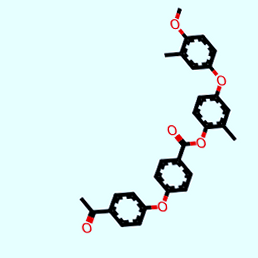 COc1ccc(Oc2ccc(OC(=O)c3ccc(Oc4ccc(C(C)=O)cc4)cc3)c(C)c2)cc1C